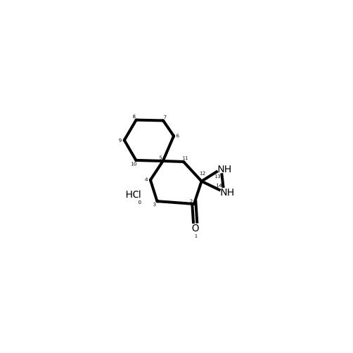 Cl.O=C1CCC2(CCCCC2)CC12NN2